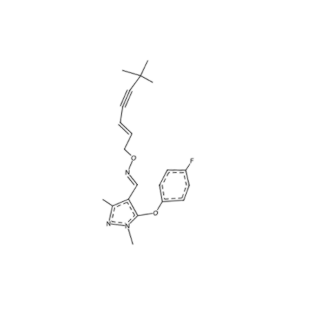 Cc1nn(C)c(Oc2ccc(F)cc2)c1C=NOCC=CC#CC(C)(C)C